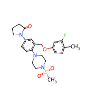 Cc1ccc(OCc2cc(N3CCCC3=O)ccc2N2CCN(S(C)(=O)=O)CC2)cc1F